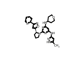 Cc1cc(Nc2cc(NC3CCOCC3)nc(N3CCC[C@H]3c3cc(-c4ccccn4)no3)n2)n[nH]1